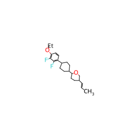 C/C=C/C1CCC(C2CCC(c3ccc(OCC)c(F)c3F)CC2)OC1